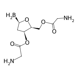 B[C@@H]1C[C@H](OC(=O)CN)[C@H](COC(=O)CN)O1